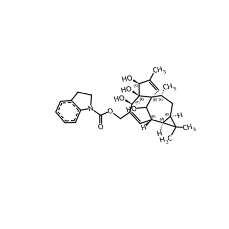 CC1=C[C@]23C(O)[C@@H](C=C(COC(=O)N4CCc5ccccc54)[C@@H](O)[C@]2(O)[C@H]1O)[C@H]1[C@@H](C[C@H]3C)C1(C)C